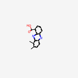 Cc1ccc2nc3cccc(C(=O)O)c3nc2c1C